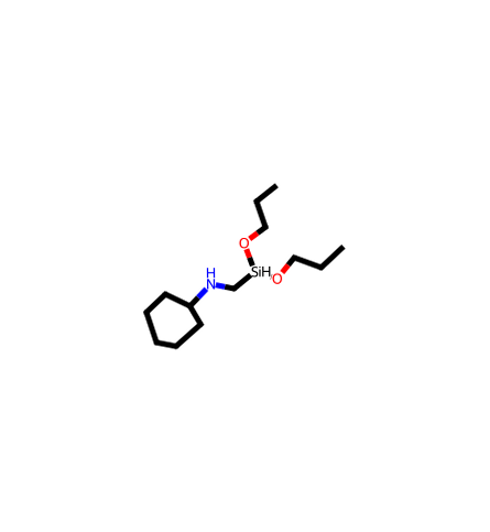 CCCO[SiH](CNC1CCCCC1)OCCC